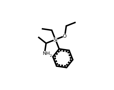 CCO[Si](CC)(c1ccccc1)C(C)N